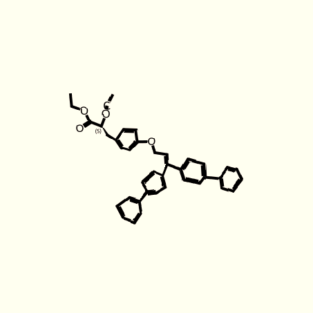 CCOC(=O)[C@H](Cc1ccc(OCC=C(c2ccc(-c3ccccc3)cc2)c2ccc(-c3ccccc3)cc2)cc1)OCC